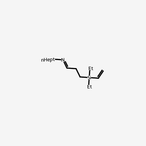 C=C[Si](CC)(CC)CCC=NCCCCCCC